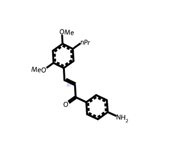 CCCc1cc(/C=C/C(=O)c2ccc(N)cc2)c(OC)cc1OC